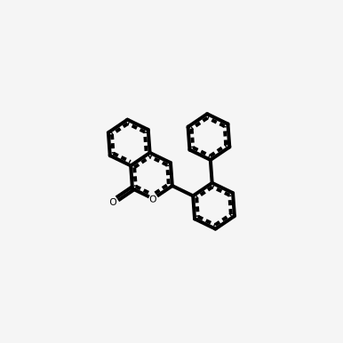 O=c1oc(-c2ccccc2-c2ccccc2)cc2ccccc12